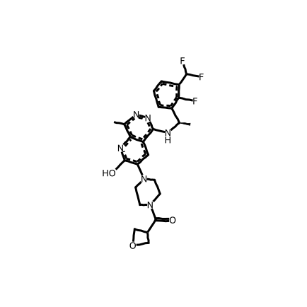 Cc1nnc(N[C@H](C)c2cccc(C(F)F)c2F)c2cc(N3CCN(C(=O)C4COC4)CC3)c(O)nc12